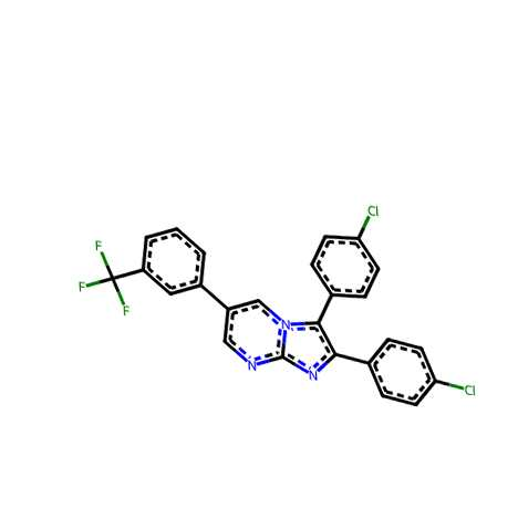 FC(F)(F)c1cccc(-c2cnc3nc(-c4ccc(Cl)cc4)c(-c4ccc(Cl)cc4)n3c2)c1